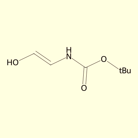 CC(C)(C)OC(=O)N/C=C/O